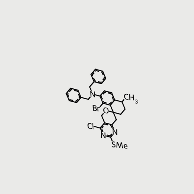 CSc1nc(Cl)c2c(n1)CC1(CCC(C)c3ccc(N(Cc4ccccc4)Cc4ccccc4)c(Br)c31)OC2